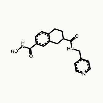 O=C(NO)c1ccc2c(c1)CC(C(=O)NCc1ccncc1)CC2